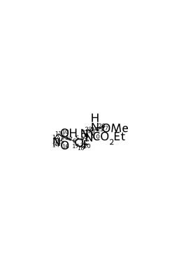 CCOC(=O)c1nc(-c2cc(C#C[C@]3(O)CCN(C)C3=O)ccc2F)ncc1NCCOC